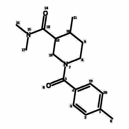 Cc1ccc(C(=O)N2CCC(C)C(C(=O)N(C)C)C2)cc1